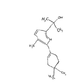 CC1(C)CC=C(c2nc(C(C)(C)O)ccc2N)CC1